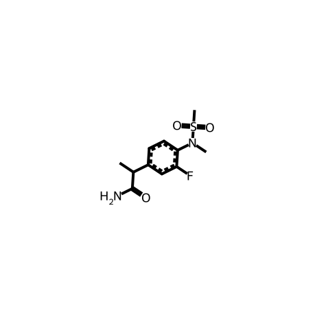 CC(C(N)=O)c1ccc(N(C)S(C)(=O)=O)c(F)c1